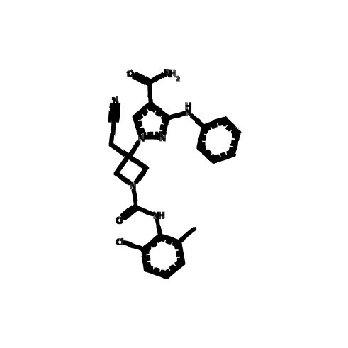 Cc1cccc(Cl)c1NC(=O)N1CC(CC#N)(n2cc(C(N)=O)c(Nc3ccccc3)n2)C1